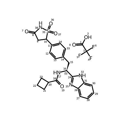 O=C(O)C(F)(F)F.O=C1CC(c2ccc(C[C@H](NC(=O)C3CCC3)c3nc4ccccc4[nH]3)cc2)S(=O)(=O)N1